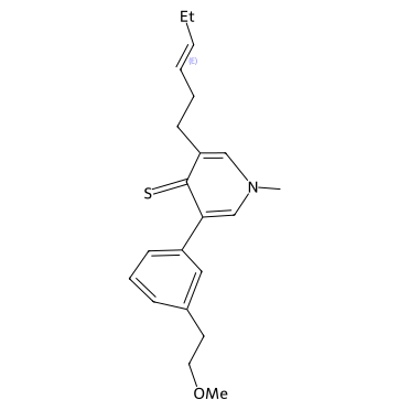 CC/C=C/CCc1cn(C)cc(-c2cccc(CCOC)c2)c1=S